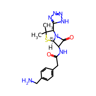 CC1(C)S[C@@H]2C(NC(=O)Cc3ccc(CN)cc3)C(=O)N2C1c1nnn[nH]1